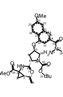 C=C[C@H]1CC1(NC(=O)[C@@H]1C[C@@H](Oc2cc(C(=O)N(C)N)nc3cc(OC)ccc23)CN1C(=O)OC(C)(C)C)C(=O)OC